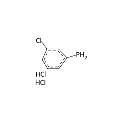 Cl.Cl.Pc1cccc(Cl)c1